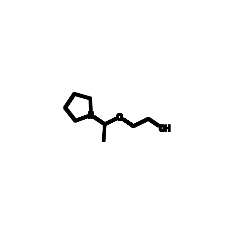 CC(OCCO)N1CCCC1